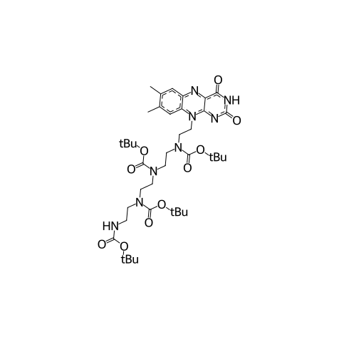 Cc1cc2nc3c(=O)[nH]c(=O)nc-3n(CCN(CCN(CCN(CCNC(=O)OC(C)(C)C)C(=O)OC(C)(C)C)C(=O)OC(C)(C)C)C(=O)OC(C)(C)C)c2cc1C